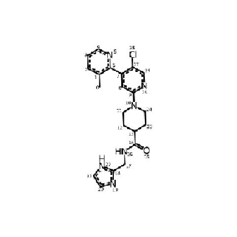 Cc1cccnc1-c1cc(N2CCC(C(=O)NCc3ncc[nH]3)CC2)ncc1Cl